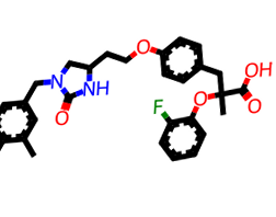 Cc1ccc(CN2CC(CCOc3ccc(CC(C)(Oc4ccccc4F)C(=O)O)cc3)NC2=O)cc1C